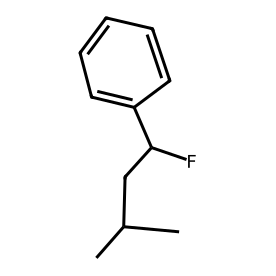 CC(C)CC(F)c1ccccc1